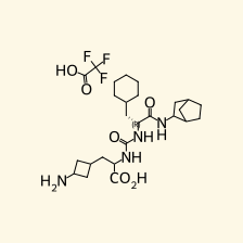 NC1CC(CC(NC(=O)N[C@H](CC2CCCCC2)C(=O)NC2CC3CCC2C3)C(=O)O)C1.O=C(O)C(F)(F)F